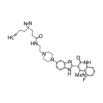 C#CCCC1(CCC(=O)NCCN2CCN(c3ccc4[nH]c(-c5c(NC)c6c(F)cccc6[nH]c5=O)nc4c3)CC2)N=N1